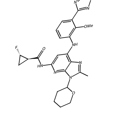 COc1c(Nc2cc(NC(=O)[C@H]3C[C@@H]3F)nc3c2nc(C)n3C2CCCCO2)cccc1-c1ncn(C)n1